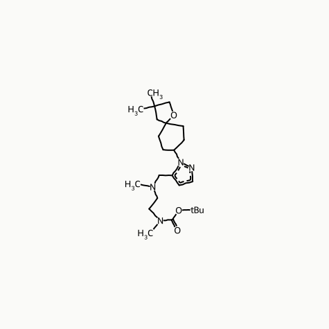 CN(CCN(C)C(=O)OC(C)(C)C)Cc1ccnn1C1CCC2(CC1)CC(C)(C)CO2